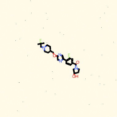 CC(C)(F)CN1CCC(COc2cnc(-c3ccc(C(=O)N4CCC(O)C4)cc3F)cn2)CC1